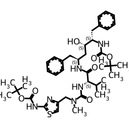 CC(C)[C@H](NC(=O)N(C)Cc1csc(NC(=O)OC(C)(C)C)n1)C(=O)N[C@@H](Cc1ccccc1)C[C@H](O)[C@H](Cc1ccccc1)NC(=O)OC(C)(C)C